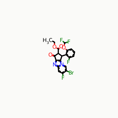 CCOC(=O)C1C(=O)c2nc3cc(F)c(Br)cn3c2C1c1c(F)cccc1OC(F)F